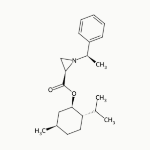 CC(C)[C@@H]1CC[C@@H](C)C[C@H]1OC(=O)[C@H]1CN1[C@H](C)c1ccccc1